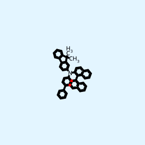 CC1(C)c2ccccc2-c2ccc(N(c3ccc(-c4ccccc4)cc3)c3ccc4ccccc4c3-c3cccc4ccccc34)cc21